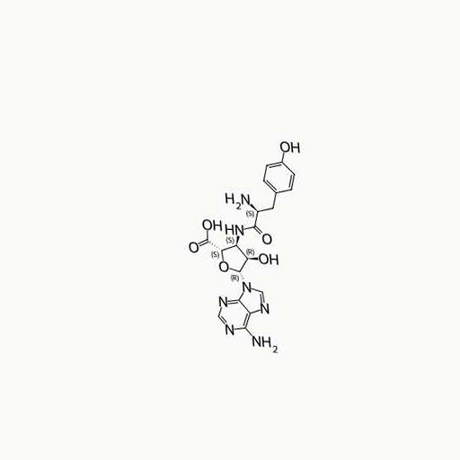 Nc1ncnc2c1ncn2[C@@H]1O[C@H](C(=O)O)[C@@H](NC(=O)[C@@H](N)Cc2ccc(O)cc2)[C@H]1O